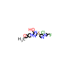 C[C@H]1CC2(CCN(c3ncc(Sc4ccnc(N5CC(CF)C5)c4Cl)nc3CO)CC2)CO1